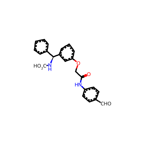 O=Cc1ccc(NC(=O)COc2cccc([C@@H](NC(=O)O)c3ccccc3)c2)cc1